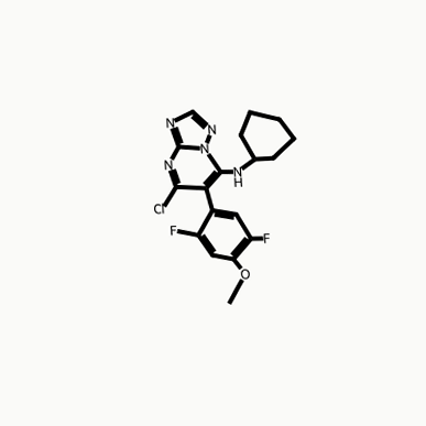 COc1cc(F)c(-c2c(Cl)nc3ncnn3c2NC2CCCCC2)cc1F